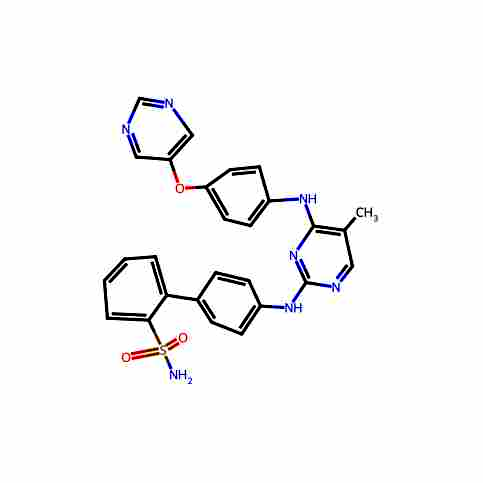 Cc1cnc(Nc2ccc(-c3ccccc3S(N)(=O)=O)cc2)nc1Nc1ccc(Oc2cncnc2)cc1